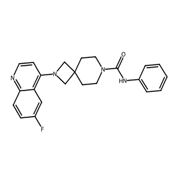 O=C(Nc1ccccc1)N1CCC2(CC1)CN(c1ccnc3ccc(F)cc13)C2